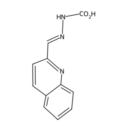 O=C(O)NN=Cc1ccc2ccccc2n1